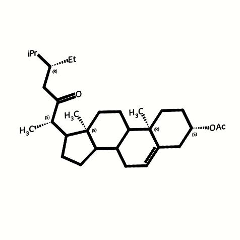 CC[C@H](CC(=O)[C@@H](C)C1CCC2C3CC=C4C[C@@H](OC(C)=O)CC[C@]4(C)C3CC[C@@]21C)C(C)C